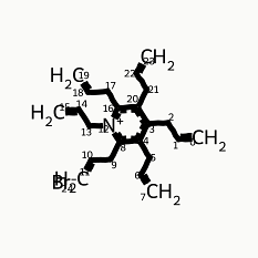 C=CCc1c(CC=C)c(CC=C)[n+](CC=C)c(CC=C)c1CC=C.[Br-]